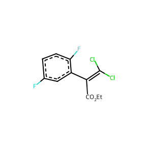 CCOC(=O)C(=C(Cl)Cl)c1cc(F)ccc1F